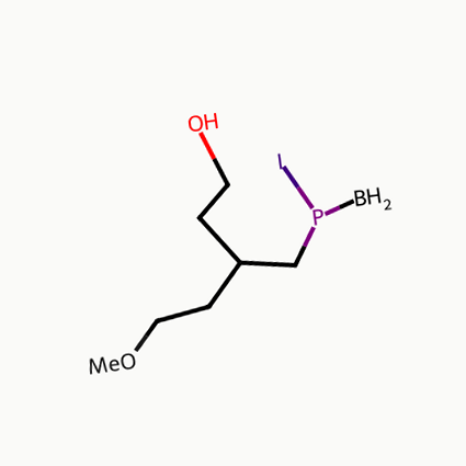 BP(I)CC(CCO)CCOC